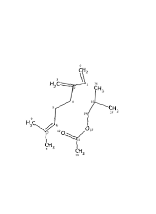 C=CC(=C)CCC=C(C)C.CC(=O)OCC(C)C